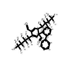 O=CC1=CC(C(F)(F)C(F)(F)C(F)(F)C(F)(F)F)C(C=O)(c2ccccc2-c2ccccc2)C=C1C(F)(F)C(F)(F)C(F)(F)C(F)(F)F